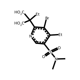 CCc1c(S(=O)(=O)N(C)C)cnc(C(CC)(C(=O)O)C(=O)O)c1Br